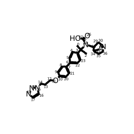 CC(C)(c1ccc(-c2ccc(OCCCn3ccnn3)cc2)cc1)N(C(=O)O)C1CCN2CCC1CC2